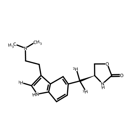 [2H]c1[nH]c2ccc(C([2H])([2H])[C@H]3COC(=O)N3)cc2c1CCN(C)C